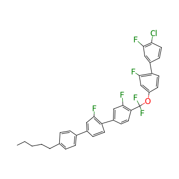 CCCCCc1ccc(-c2ccc(-c3ccc(C(F)(F)Oc4ccc(-c5ccc(Cl)c(F)c5)c(F)c4)c(F)c3)c(F)c2)cc1